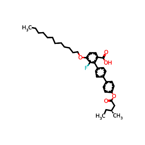 CCCCCCCCCCCCOc1ccc(C(=O)O)c(-c2ccc(-c3ccc(OC(=O)C[C@@H](C)CC)cc3)cc2)c1F